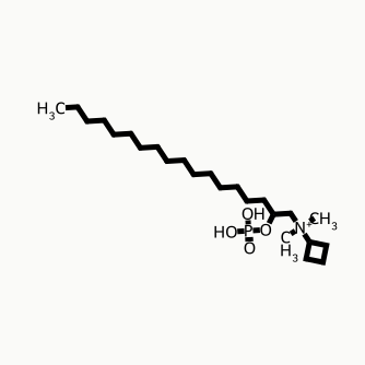 CCCCCCCCCCCCCCCCC(C[N+](C)(C)C1CCC1)OP(=O)(O)O